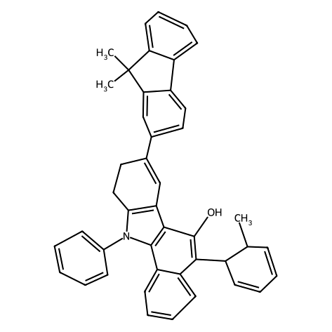 CC1C=CC=CC1c1c(O)c2c3c(n(-c4ccccc4)c2c2ccccc12)CCC(c1ccc2c(c1)C(C)(C)c1ccccc1-2)=C3